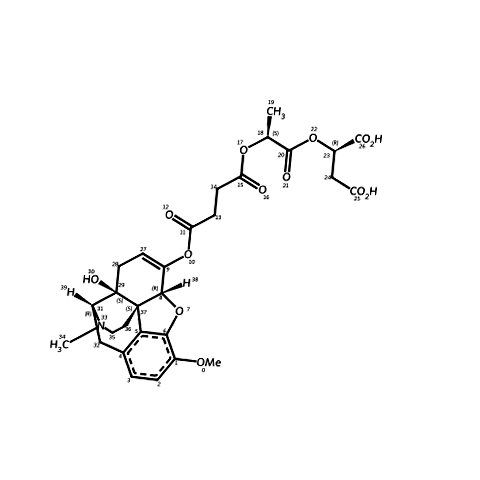 COc1ccc2c3c1O[C@H]1C(OC(=O)CCC(=O)O[C@@H](C)C(=O)O[C@H](CC(=O)O)C(=O)O)=CC[C@@]4(O)[C@@H](C2)N(C)CC[C@]314